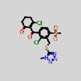 Cn1nnnc1SCc1c(S(C)(=O)=O)ccc(C(=O)C2=C(Cl)CCCC2=O)c1Cl